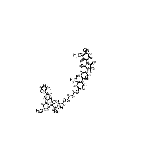 Cc1ncoc1-c1c[nH]c([C@@H]2C[C@@H](O)CN2C(=O)[C@@H](NC(=O)COCCCCOc2ccc(-c3ncc(N4C(=S)N(c5ccc(C#N)c(C(F)(F)F)c5F)C(=O)C4(C)C)cc3F)c(C(F)(F)F)c2)C(C)(C)C)n1